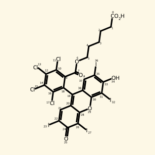 O=C(O)CCCCCOC(=O)c1c(Cl)c(Cl)c(Cl)c(Cl)c1-c1c2cc(I)c(=O)c(I)c-2oc2c(I)c(O)c(I)cc12